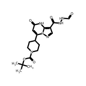 CC(C)(C)OC(=O)N1CCC(c2cc(=O)[nH]c3c(C(=O)NNC=O)cnn23)CC1